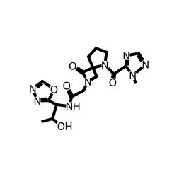 CC(O)C(NC(=O)CN1CC2(CCCN2C(=O)c2ncnn2C)C1=O)c1nnco1